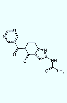 CC(=O)Nc1nc2c(s1)C(=O)C(C(=O)c1cncnc1)CC2